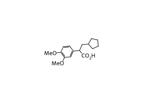 COc1ccc(C(CC2CCCC2)C(=O)O)cc1OC